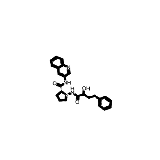 O=C(NN1CCC[C@@H]1C(=O)Nc1cnc2ccccc2c1)C(O)CCc1ccccc1